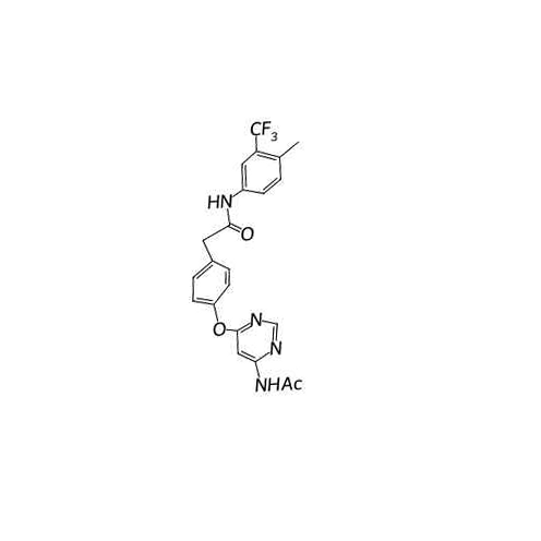 CC(=O)Nc1cc(Oc2ccc(CC(=O)Nc3ccc(C)c(C(F)(F)F)c3)cc2)ncn1